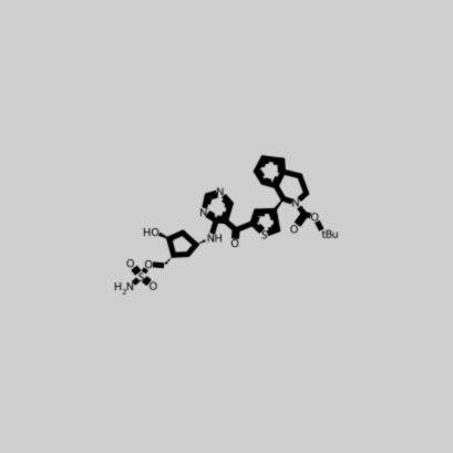 CC(C)(C)OC(=O)N1CCc2ccccc2[C@@H]1c1csc(C(=O)c2cncnc2N[C@@H]2C[C@H](COS(N)(=O)=O)[C@@H](O)C2)c1